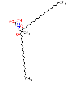 CCCCCCCCCCCCCCCCCC(=O)C(C)(CNCC(O)O)C(=O)CCCCCCCCCCCCCCCCC